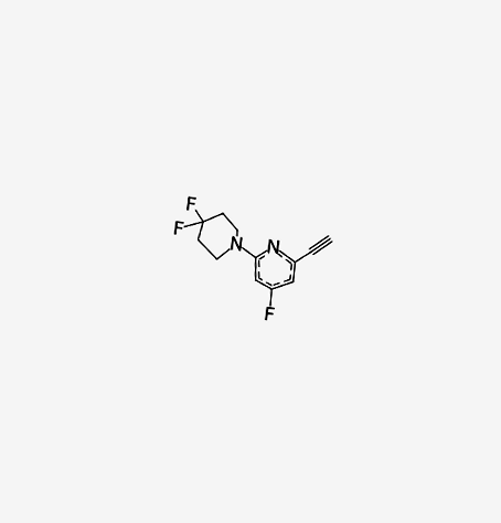 C#Cc1cc(F)cc(N2CCC(F)(F)CC2)n1